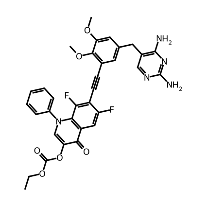 CCOC(=O)Oc1cn(-c2ccccc2)c2c(F)c(C#Cc3cc(Cc4cnc(N)nc4N)cc(OC)c3OC)c(F)cc2c1=O